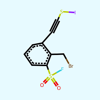 O=S(=O)(F)c1cccc(C#CSI)c1CBr